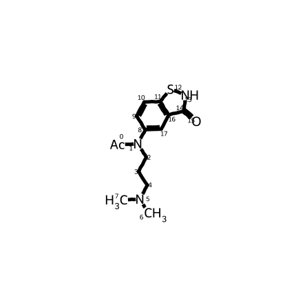 CC(=O)N(CCCN(C)C)c1ccc2s[nH]c(=O)c2c1